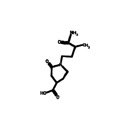 CC(CCN1CCC(C(=O)O)CC1=O)C(N)=O